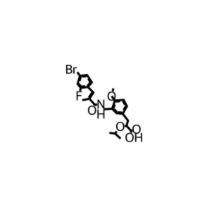 COc1ccc(CC(OC(C)C)C(=O)O)cc1CNC(=O)C(C)=Cc1ccc(Br)cc1F